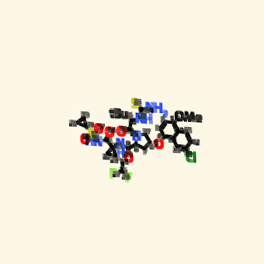 COc1ccc(O[C@@H]2CC(C(=O)N[C@]3(C(=O)NS(=O)(=O)C4CC4)C[C@H]3CC(F)F)N(C(=O)[C@@H](NC(N)=S)C(C)(C)C)C2)c2cc(Cl)ccc12